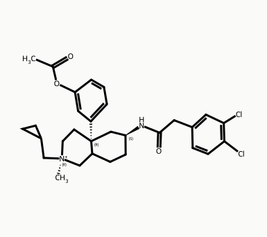 CC(=O)Oc1cccc([C@@]23CC[N@+](C)(CC4CC4)CC2CC[C@H](NC(=O)Cc2ccc(Cl)c(Cl)c2)C3)c1